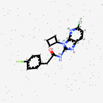 O=C(Cc1ccc(F)cc1)Nc1nc2ccc(Cl)nc2n1C1CCC1